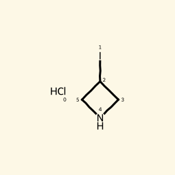 Cl.IC1CNC1